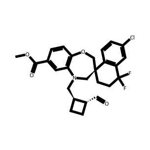 COC(=O)c1ccc2c(c1)N(C[C@@H]1CC[C@H]1C=O)C[C@@]1(CCC(F)(F)c3cc(Cl)ccc31)CO2